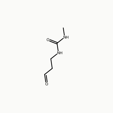 CNC(=O)NCCC=O